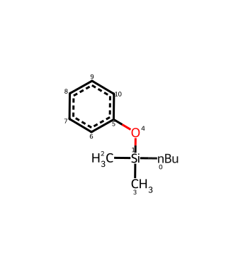 CCCC[Si](C)(C)Oc1ccccc1